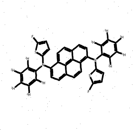 [2H]c1c([2H])c([2H])c(N(c2ccc(F)s2)c2ccc3ccc4c(N(c5ccc(F)s5)c5c([2H])c([2H])c([2H])c([2H])c5[2H])ccc5ccc2c3c54)c([2H])c1[2H]